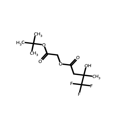 CC(C)(C)OC(=O)COC(=O)CC(C)(O)C(F)(F)F